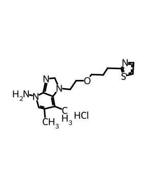 CC1=CN(N)C2=NCN(CCOCCCc3nccs3)C2=C1C.Cl